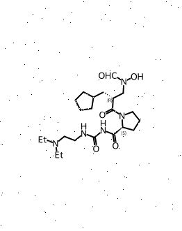 CCN(CC)CCNC(=O)NC(=O)[C@@H]1CCCN1C(=O)[C@H](CC1CCCC1)CN(O)C=O